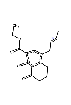 CCOC(=O)c1cn(C/C=C/Br)c2c(c1=O)C(=O)CCC2